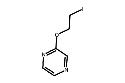 ICCOc1cnccn1